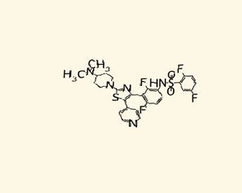 CN(C)C1CCN(c2nc(-c3c(F)ccc(NS(=O)(=O)c4cc(F)ccc4F)c3F)c(-c3ccncc3)s2)CC1